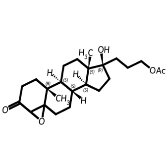 CC(=O)OCCC[C@]1(O)CC[C@H]2[C@@H]3CCC45OC4C(=O)CC[C@]5(C)[C@H]3CC[C@@]21C